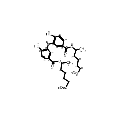 CCCCCCCCCCCCCCC(C)OC(=O)c1ccc(O)c(Sc2cc(C(=O)OC(C)CCCCCCCCCCCCCC)ccc2O)c1